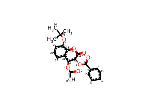 CC(=O)Oc1c(OC(=O)c2ccccc2)c(=O)oc2c(OC(C)(C)C)cccc12